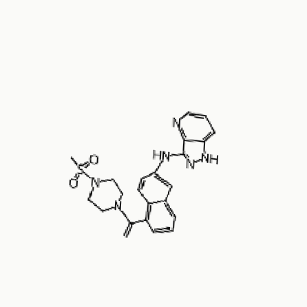 C=C(c1cccc2cc(Nc3n[nH]c4cccnc34)ccc12)N1CCN(S(C)(=O)=O)CC1